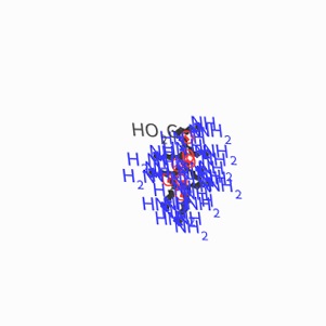 N=C(N)NCCC[C@@H](N)C(=O)N[C@H](CCCNC(=N)N)C(=O)N[C@H](CCCNC(=N)N)C(=O)N[C@H](CCCNC(=N)N)C(=O)N[C@H](CCCNC(=N)N)C(=O)N[C@H](CCCNC(=N)N)C(=O)N[C@H](CCCNC(=N)N)C(=O)N[C@H](CCCNC(=N)N)C(=O)O